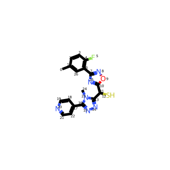 Cc1ccc(F)c(-c2noc(C(S)c3nnc(-c4ccncc4)n3C)n2)c1